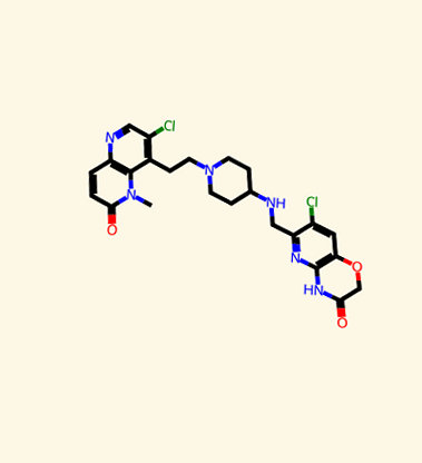 Cn1c(=O)ccc2ncc(Cl)c(CCN3CCC(NCc4nc5c(cc4Cl)OCC(=O)N5)CC3)c21